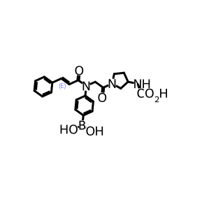 O=C(O)NC1CCN(C(=O)CN(C(=O)/C=C/c2ccccc2)c2ccc(B(O)O)cc2)C1